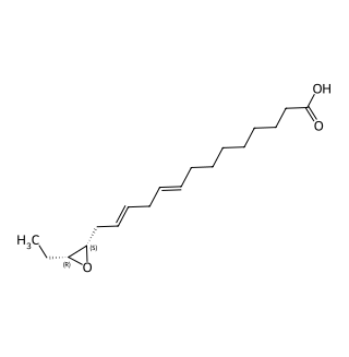 CC[C@H]1O[C@H]1CC=CCC=CCCCCCCCC(=O)O